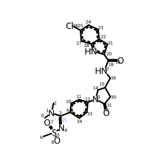 CN(C)/C(=N\S(C)(=O)=O)c1ccc(N2CC(CNC(=O)c3cc4ccc(Cl)cc4[nH]3)CC2=O)cc1